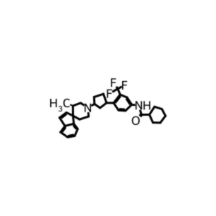 C[C@H]1CN(C2CCC(c3ccc(NC(=O)C4CCCCC4)cc3C(F)(F)F)C2)CCC12C=Cc1ccccc12